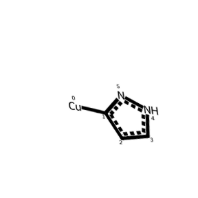 [Cu][c]1cc[nH]n1